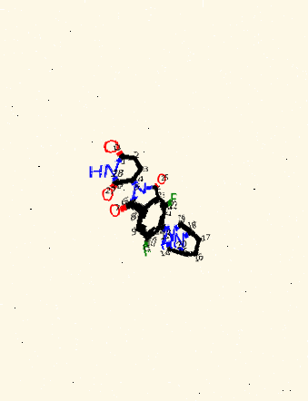 O=C1CCC(N2C(=O)c3cc(F)c(N4CC5CCC(C4)N5)c(F)c3C2=O)C(=O)N1